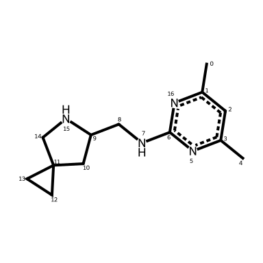 Cc1cc(C)nc(NCC2CC3(CC3)CN2)n1